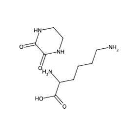 NCCCCC(N)C(=O)O.O=C1NCCNC1=O